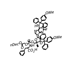 C#C[C@]1(COP(=O)(N[C@@H](Cc2ccccc2)C(=O)O)OCC(=O)OCCCCCCCCCC)O[C@@H](n2cnc3c(NC(c4ccccc4)(c4ccccc4)c4ccc(OC)cc4)nc(F)nc32)C[C@@H]1OC(c1ccccc1)(c1ccccc1)c1ccc(OC)cc1